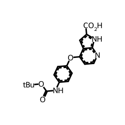 CC(C)(C)OC(=O)Nc1ccc(Oc2ccnc3[nH]c(C(=O)O)cc23)cc1